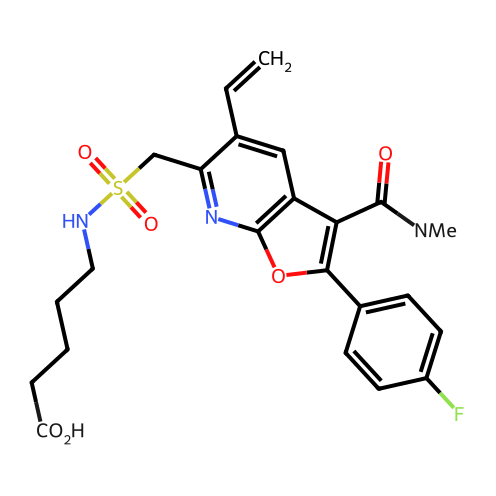 C=Cc1cc2c(C(=O)NC)c(-c3ccc(F)cc3)oc2nc1CS(=O)(=O)NCCCCC(=O)O